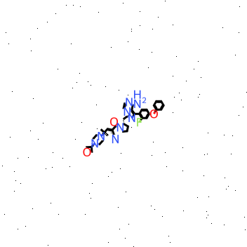 CC(C)(C=C(C#N)C(=O)N1CCC[C@H]1Cc1nc(-c2ccc(Oc3ccccc3)cc2F)c2c(N)nccn12)N1CCN(C2COC2)CC1